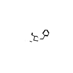 CC[C@@H]1CN(Cc2ccccc2)CC1C=O